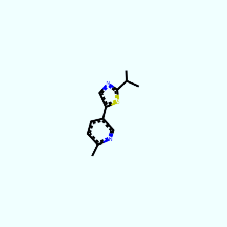 Cc1ccc(-c2cnc(C(C)C)s2)cn1